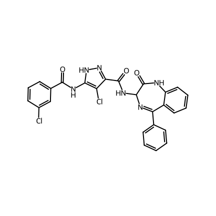 O=C(Nc1[nH]nc(C(=O)NC2N=C(c3ccccc3)c3ccccc3NC2=O)c1Cl)c1cccc(Cl)c1